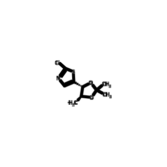 [CH2][C@@H]1OC(C)(C)O[C@H]1c1cnc(Cl)s1